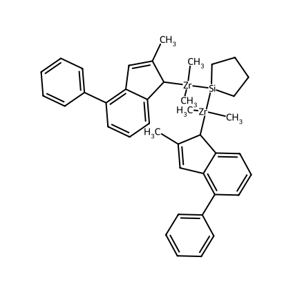 CC1=Cc2c(-c3ccccc3)cccc2[CH]1[Zr]([CH3])([CH3])[Si]1([Zr]([CH3])([CH3])[CH]2C(C)=Cc3c(-c4ccccc4)cccc32)CCCC1